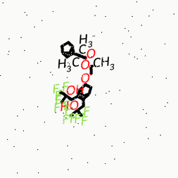 CC(COC1CC2CC1C(CC(O)(C(F)(F)F)C(F)(F)F)C2CC(O)(C(F)(F)F)C(F)(F)F)OC(=O)C(C)(C)C1CC2CCC1C2